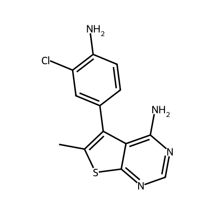 Cc1sc2ncnc(N)c2c1-c1ccc(N)c(Cl)c1